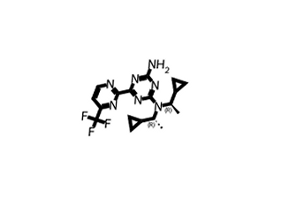 C[C@H](C1CC1)N(c1nc(N)nc(-c2nccc(C(F)(F)F)n2)n1)[C@H](C)C1CC1